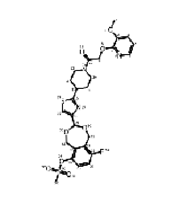 COc1cccnc1OCC(=O)N1CCC(c2nc(C3OCc4c(F)ccc(OS(C)(=O)=O)c4CO3)cs2)CC1